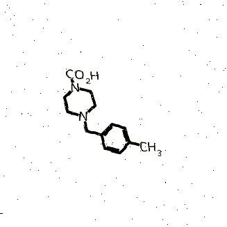 Cc1ccc(CN2CCN(C(=O)O)CC2)cc1